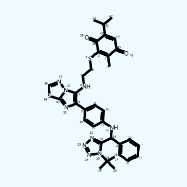 CC1=C(SCCNc2c(-c3ccc(NC(c4ccccc4)c4nnnn4C(C)(C)C)cc3)nc3scnn23)C(=O)C(C(C)C)=CC1=O